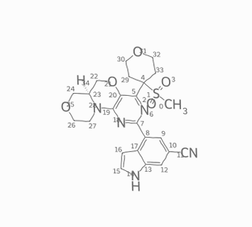 CS(=O)(=O)C1(c2nc(-c3cc(C#N)cc4[nH]ccc34)nc3c2OC[C@@H]2COCCN32)CCOCC1